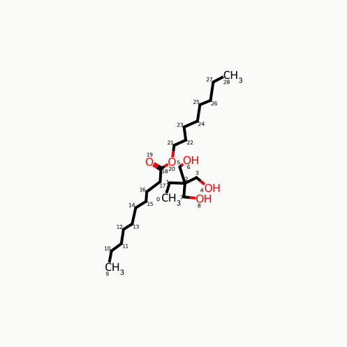 CCC(CO)(CO)CO.CCCCCCCCCC(=O)OCCCCCCCC